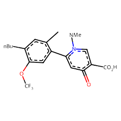 CCCCc1cc(C)c(-c2cc(=O)c(C(=O)O)cn2NC)cc1OC(F)(F)F